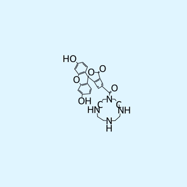 O=C1OC2(c3ccc(O)cc3Oc3cc(O)ccc32)c2ccc(C(=O)N3CCNCCNCCNCC3)cc21